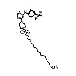 CCCCCCCCCCCCCCCCS(=O)(=O)N1CCN(c2cc(Nc3ccc(C(F)(F)F)cc3)ncn2)CC1